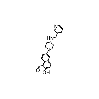 O=Cc1c(O)ccc2cc(N3CCC(NCc4cccnc4)CC3)ccc12